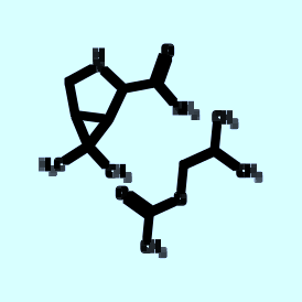 CC(=O)OCC(C)C.CC1(C)C2CNC(C(N)=O)C21